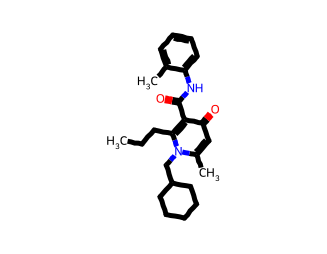 CCCc1c(C(=O)Nc2ccccc2C)c(=O)cc(C)n1CC1CCCCC1